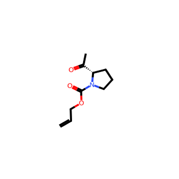 C=CCOC(=O)N1CCC[C@H]1C(C)=O